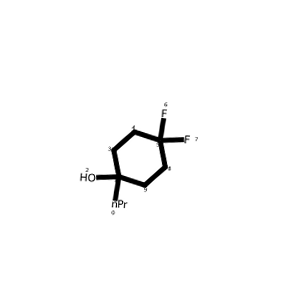 CCCC1(O)CCC(F)(F)CC1